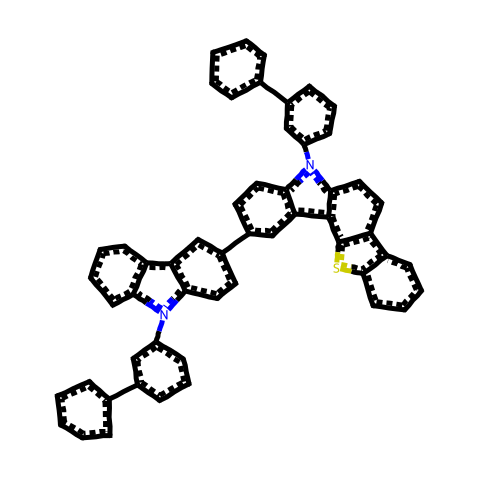 c1ccc(-c2cccc(-n3c4ccccc4c4cc(-c5ccc6c(c5)c5c7sc8ccccc8c7ccc5n6-c5cccc(-c6ccccc6)c5)ccc43)c2)cc1